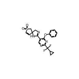 O=S1(=O)C=CC2(CN=C(c3cnc(C(F)(F)C4CC4)nc3Oc3ccccc3)N2)C1